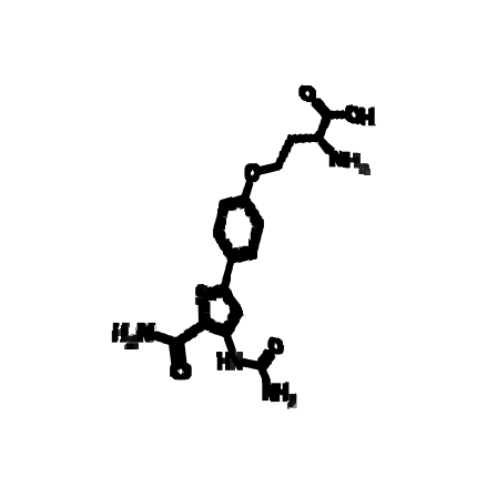 NC(=O)Nc1cc(-c2ccc(OCC[C@H](N)C(=O)O)cc2)sc1C(N)=O